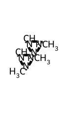 CCN1CCN(CC)CCN(C(C)N2CCN(CC)CCN(CC)CC2)CC1